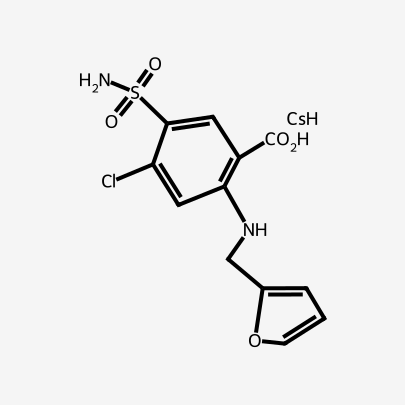 NS(=O)(=O)c1cc(C(=O)O)c(NCc2ccco2)cc1Cl.[CsH]